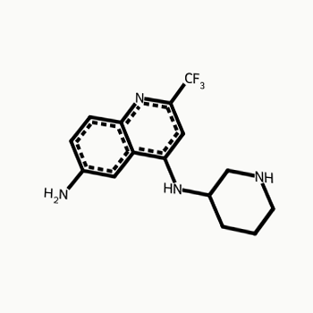 Nc1ccc2nc(C(F)(F)F)cc(NC3CCCNC3)c2c1